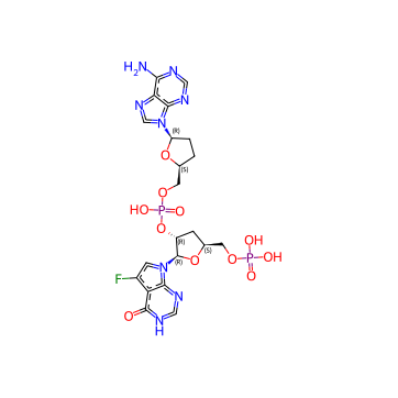 Nc1ncnc2c1ncn2[C@H]1CC[C@@H](COP(=O)(O)O[C@@H]2C[C@@H](COP(=O)(O)O)O[C@H]2n2cc(F)c3c(=O)[nH]cnc32)O1